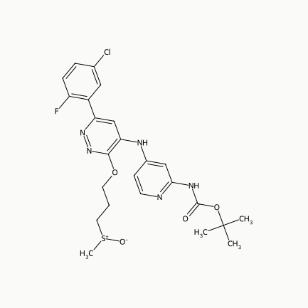 C[S+]([O-])CCCOc1nnc(-c2cc(Cl)ccc2F)cc1Nc1ccnc(NC(=O)OC(C)(C)C)c1